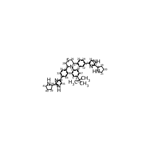 CC(C)(C)c1ccc(N2C(c3ccc(-c4c[nH]c(C5CCCN5)n4)cc3)CSCC2c2ccc(-c3c[nH]c(C4CCCN4)n3)cc2)cc1